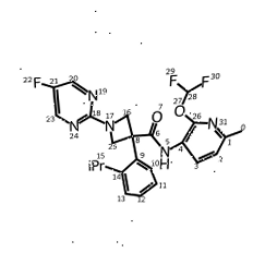 Cc1ccc(NC(=O)C2(c3ccccc3C(C)C)CN(c3ncc(F)cn3)C2)c(OC(F)F)n1